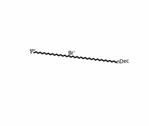 CCCCCCCCCCCCCCCCCCCCCCCCCCCCCCCCCCCCCCCCCCCCCCCCCCC[P+](C)(C)C.[Br-]